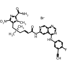 C#Cc1cc(Nc2ncnc3cnc(NC(=O)/C=C/C[N+](C)(C)Cc4c([N+](=O)[O-])nc(C(N)=O)n4C)cc23)ccc1F.[Br-]